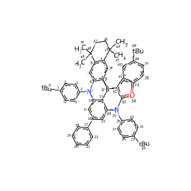 CC(C)(C)c1ccc(N2c3cc4c(cc3B3c5c2cc(-c2ccccc2)cc5N(c2ccc(C(C)(C)C)cc2)c2oc5ccc(C(C)(C)C)cc5c23)C(C)(C)CCC4(C)C)cc1